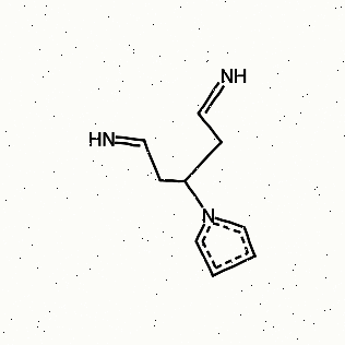 N=CCC(CC=N)n1cccc1